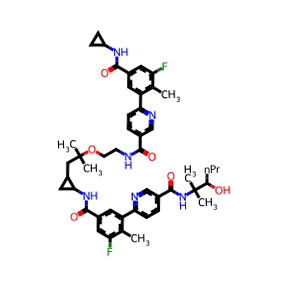 CCCC(O)C(C)(C)NC(=O)c1ccc(-c2cc(C(=O)NC3CC3CC(C)(C)OCCNC(=O)c3ccc(-c4cc(C(=O)NC5CC5)cc(F)c4C)nc3)cc(F)c2C)nc1